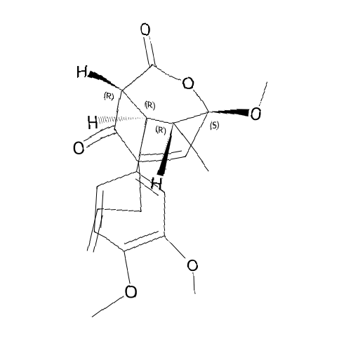 C=CCC1=C[C@@]2(OC)OC(=O)[C@@H](C1=O)[C@H](c1ccc(OC)c(OC)c1)[C@H]2C